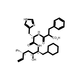 C=C[C@@H](C[C@H](O)[C@H](CC1CCCCC1)NC(=O)[C@H](Cc1c[nH]cn1)NC(=O)C(Cc1ccccc1)C(=O)O)C(C)C